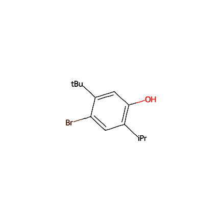 CC(C)c1cc(Br)c(C(C)(C)C)cc1O